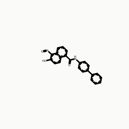 O=Nc1c(O)ccc2c(C(=O)Nc3ccc(-c4ccccc4)cc3)cccc12